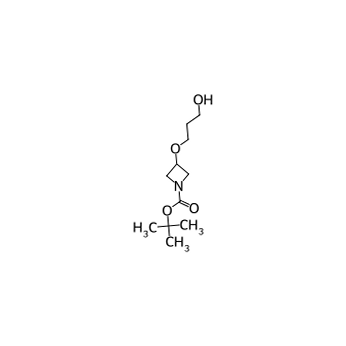 CC(C)(C)OC(=O)N1CC(OCCCO)C1